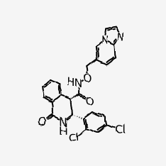 O=C1N[C@@H](c2ccc(Cl)cc2Cl)[C@H](C(=O)NOCc2ccc3nccn3c2)c2ccccc21